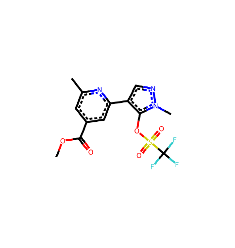 COC(=O)c1cc(C)nc(-c2cnn(C)c2OS(=O)(=O)C(F)(F)F)c1